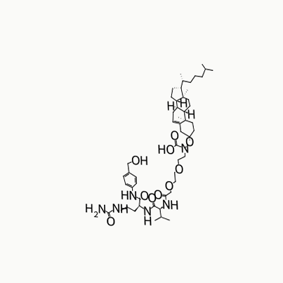 CC(C)CCC[C@@H](C)[C@H]1CC[C@H]2[C@@H]3CC=C4C[C@@H](ON(CCOCCOCC(=O)N[C@H](C(=O)N[C@@H](CCCNC(N)=O)C(=O)Nc5ccc(CO)cc5)C(C)C)C(=O)O)CC[C@]4(C)[C@H]3CC[C@]12C